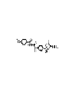 COc1ccc(C(=O)NC(=S)Nc2ccc(S(=O)(=O)NC(=N)N)cc2)cc1